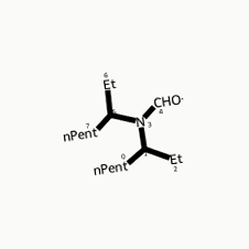 CCCCCC(CC)N([C]=O)C(CC)CCCCC